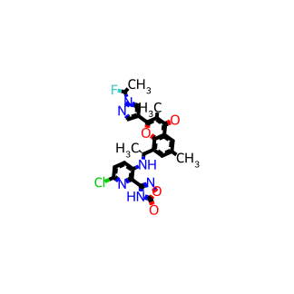 Cc1cc([C@@H](C)Nc2ccc(Cl)nc2-c2noc(=O)[nH]2)c2oc(-c3cnn(C(C)F)c3)c(C)c(=O)c2c1